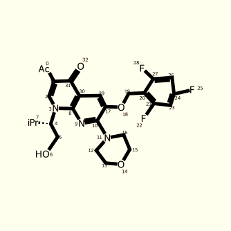 CC(=O)c1cn([C@H](CO)C(C)C)c2nc(N3CCOCC3)c(OCc3c(F)cc(F)cc3F)cc2c1=O